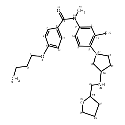 CCCCOc1ccc(C(=O)N(C)c2ccc(N3CCC(NCC4CCCO4)C3)c(F)c2)cc1